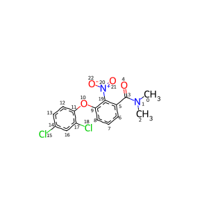 CN(C)C(=O)c1cccc(Oc2ccc(Cl)cc2Cl)c1[N+](=O)[O-]